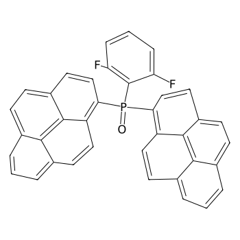 O=P(c1c(F)cccc1F)(c1ccc2ccc3cccc4ccc1c2c34)c1ccc2ccc3cccc4ccc1c2c34